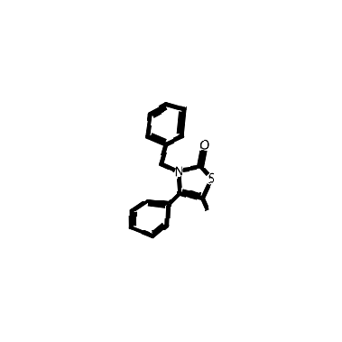 Cc1sc(=O)n(Cc2ccccc2)c1-c1ccccc1